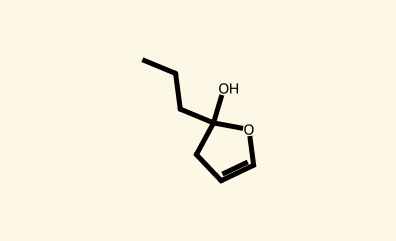 CCCC1(O)CC=CO1